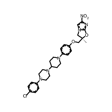 C[C@]1(COc2ccc(N3CCC(N4CCN(c5ccc(Cl)cc5)CC4)CC3)cc2)Cn2cc([N+](=O)[O-])nc2O1